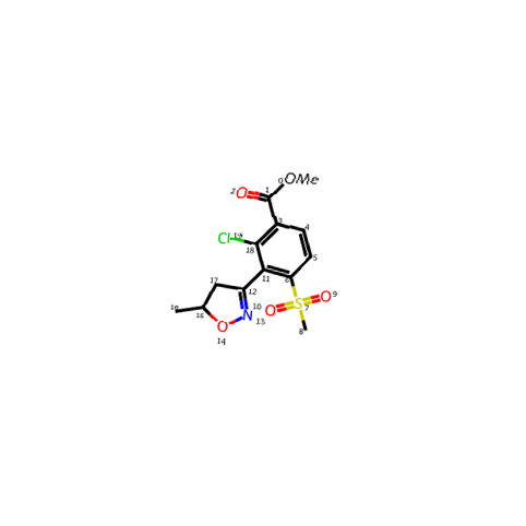 COC(=O)c1ccc(S(C)(=O)=O)c(C2=NOC(C)C2)c1Cl